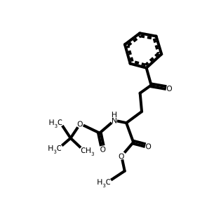 CCOC(=O)C(CCC(=O)c1ccccc1)NC(=O)OC(C)(C)C